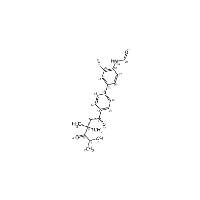 CC(O)C(=O)C(C)(C)CC(=O)c1ccc(-c2ccc(NC=O)c(F)c2)cc1